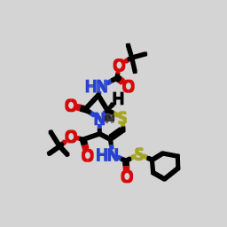 CC(C)(C)OC(=O)NC1C(=O)N2C(C(=O)OC(C)(C)C)C(NC(=O)SC3CCCCC3)=CS[C@@H]12